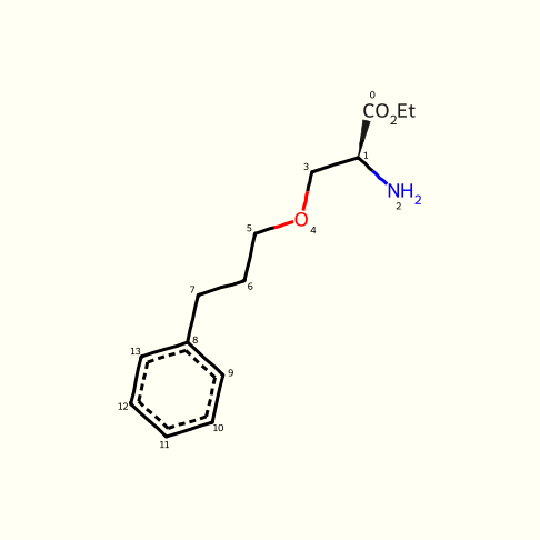 CCOC(=O)[C@@H](N)COCCCc1ccccc1